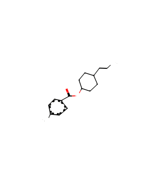 N#CCCC1CCC(OC(=O)c2ccc(C#N)cc2)CC1